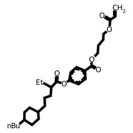 C=CC(=O)OCCCCOC(=O)c1ccc(OC(=O)C(CC)CCCC2CCC(CCCC)CC2)cc1